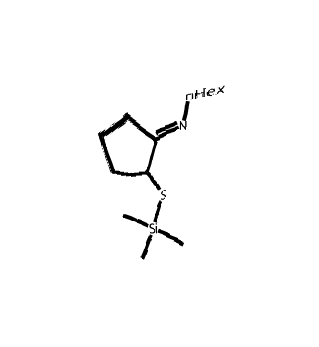 CCCCCC/N=C1\CCCC1S[Si](C)(C)C